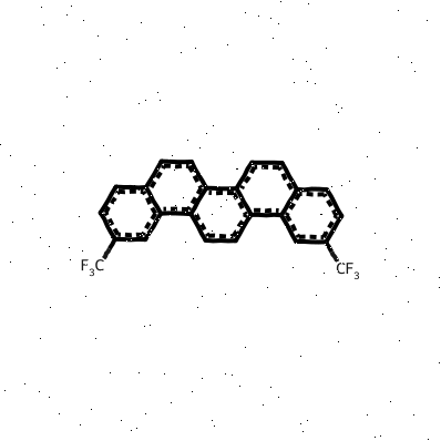 FC(F)(F)c1ccc2ccc3c(ccc4c5cc(C(F)(F)F)ccc5ccc43)c2c1